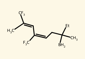 BC(C)(CC)C/C=C(\C=C(/C)C(F)(F)F)C(F)(F)F